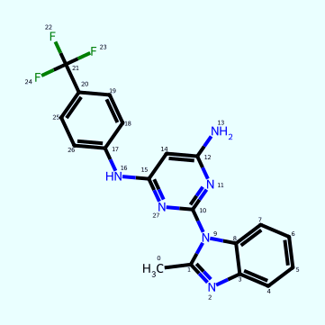 Cc1nc2ccccc2n1-c1nc(N)cc(Nc2ccc(C(F)(F)F)cc2)n1